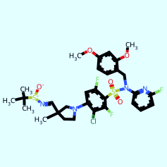 COc1ccc(CN(c2cccc(F)n2)S(=O)(=O)c2c(F)cc(N3CCC(C)(/C=N/[S+]([O-])C(C)(C)C)C3)c(Cl)c2F)c(OC)c1